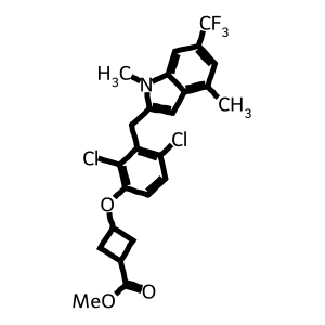 COC(=O)C1CC(Oc2ccc(Cl)c(Cc3cc4c(C)cc(C(F)(F)F)cc4n3C)c2Cl)C1